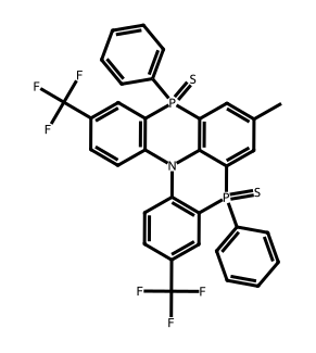 Cc1cc2c3c(c1)P(=S)(c1ccccc1)c1cc(C(F)(F)F)ccc1N3c1ccc(C(F)(F)F)cc1P2(=S)c1ccccc1